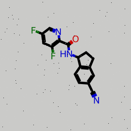 N#Cc1ccc2c(c1)CCC2NC(=O)c1ncc(F)cc1F